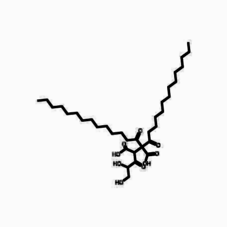 CCCCCCCCCCCCCC(=O)C(C(=O)O)(C(=O)CCCCCCCCCCCCC)C(C(=O)O)C(=O)C(O)CO